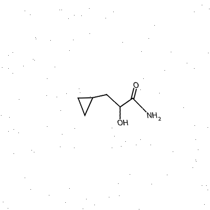 NC(=O)C(O)CC1CC1